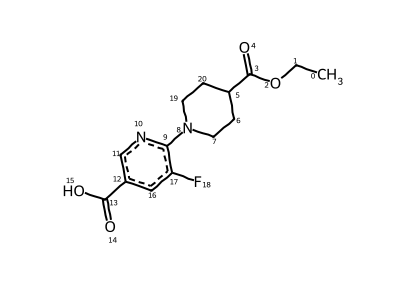 CCOC(=O)C1CCN(c2ncc(C(=O)O)cc2F)CC1